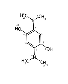 CN(C)c1cc(O)c(N(C)C)cc1O